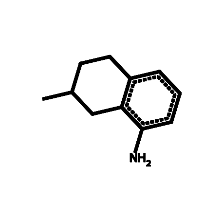 CC1CCc2cccc(N)c2C1